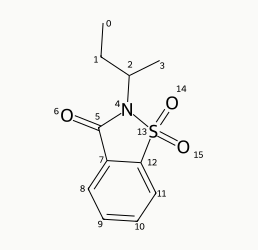 CCC(C)N1C(=O)c2ccccc2S1(=O)=O